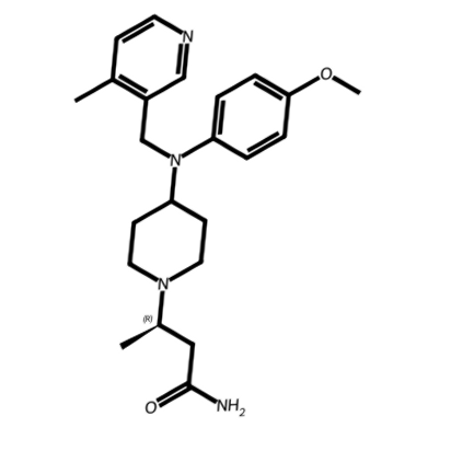 COc1ccc(N(Cc2cnccc2C)C2CCN([C@H](C)CC(N)=O)CC2)cc1